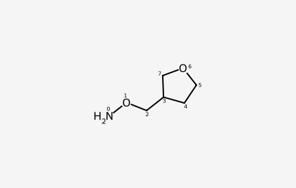 NOCC1CCOC1